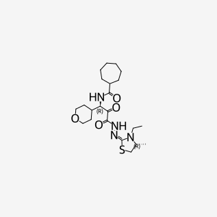 CCN1C(=NNC(=O)C(=O)[C@H](NC(=O)C2CCCCCC2)C2CCOCC2)SC[C@H]1C